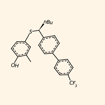 CCCC[C@H](Sc1ccc(O)c(C)c1)c1ccc(-c2ccc(C(F)(F)F)cc2)cc1